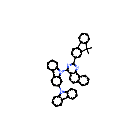 CC1(C)c2ccccc2-c2ccc(-c3nc(-n4c5ccccc5c5ccc(-n6c7ccccc7c7ccccc76)cc54)c4ccc5ccccc5c4n3)cc21